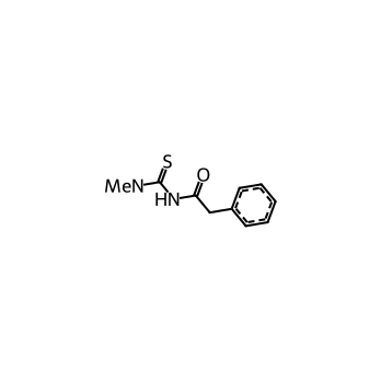 CNC(=S)NC(=O)Cc1ccccc1